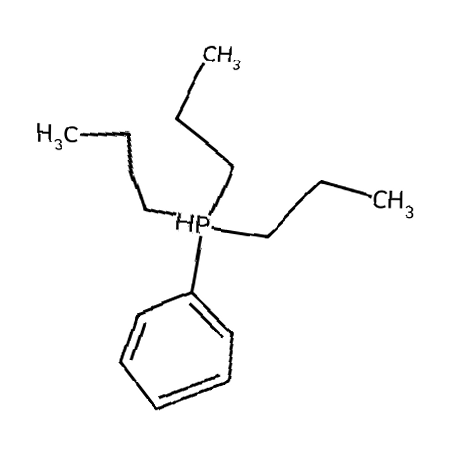 CCC[PH](CCC)(CCC)c1ccccc1